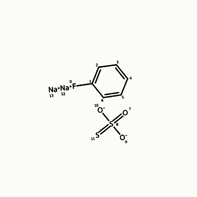 Fc1ccccc1.O=S([O-])([O-])=S.[Na+].[Na+]